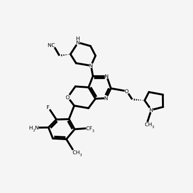 Cc1cc(N)c(F)c(C2Cc3nc(OC[C@@H]4CCCN4C)nc(N4CCN[C@@H](CC#N)C4)c3CO2)c1C(F)(F)F